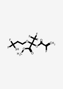 C=C(F)C(=O)OC(OCCC(F)(F)S)(C(=O)OC)C(F)(F)F